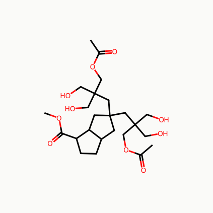 COC(=O)C1CCC2CC(CC(CO)(CO)COC(C)=O)(CC(CO)(CO)COC(C)=O)CC21